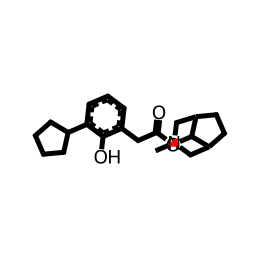 CN1CC2CCC(C1)C2OC(=O)Cc1cccc(C2CCCC2)c1O